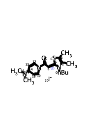 CCCCN1C(C)=C(C)S/C1=C\C(=O)n1ccc(=[N+](C)C)cc1.[I-]